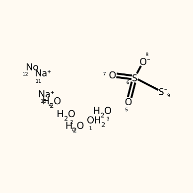 O.O.O.O.O.O=S(=O)([O-])[S-].[Na+].[Na+].[No]